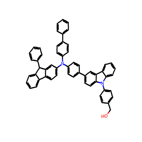 OCc1ccc(-n2c3ccccc3c3cc(-c4ccc(N(c5ccc(-c6ccccc6)cc5)c5ccc6c(c5)C(c5ccccc5)c5ccccc5-6)cc4)ccc32)cc1